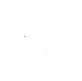 FC(F)(F)c1ccc2c(n1)OC[C@H]2NCC1CC1